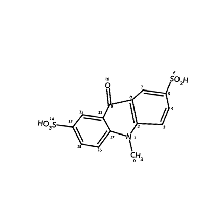 Cn1c2ccc(S(=O)(=O)O)cc2c(=O)c2cc(S(=O)(=O)O)ccc21